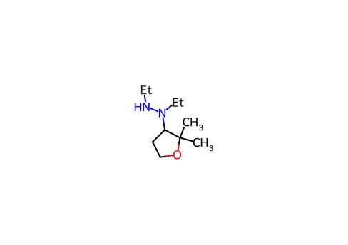 CCNN(CC)C1CCOC1(C)C